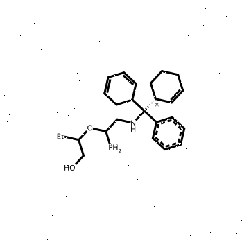 CCC(CO)OC(P)CNC(c1ccccc1)(C1C=CC=CC1)[C@H]1C=CCCC1